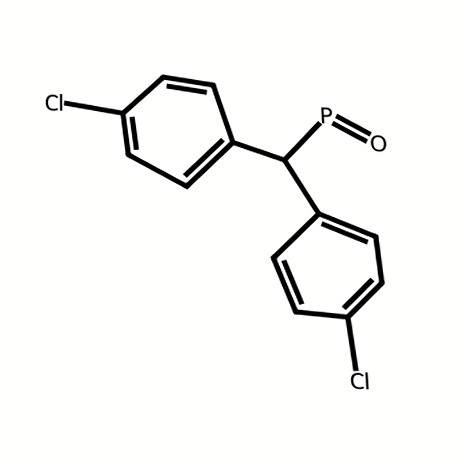 O=PC(c1ccc(Cl)cc1)c1ccc(Cl)cc1